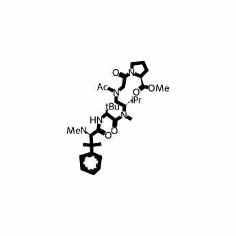 CN[C@H](C(=O)N[C@H](C(=O)N(C)[C@H](CN(CC(=O)N1CCC[C@H]1C(=O)OC)C(C)=O)C(C)C)C(C)(C)C)C(C)(C)c1ccccc1